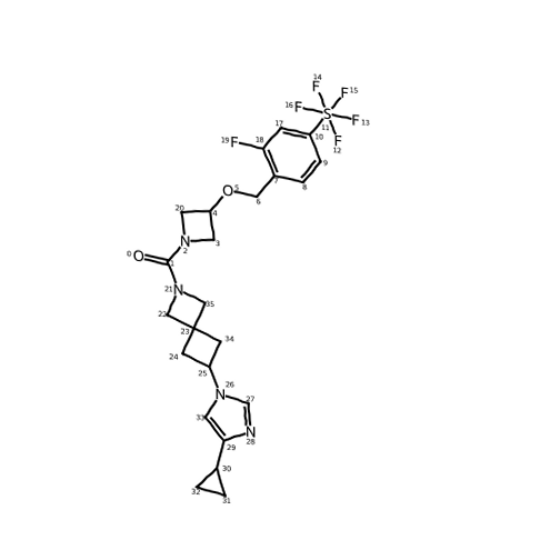 O=C(N1CC(OCc2ccc(S(F)(F)(F)(F)F)cc2F)C1)N1CC2(CC(n3cnc(C4CC4)c3)C2)C1